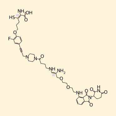 N/C(=C\NCCCC(=O)N1CCN(CC#Cc2ccc(OCCC/C(S)=C(/N)C(=O)O)c(F)c2)CC1)COCCOCCNc1cccc2c1C(=O)N(C1CCC(=O)NC1=O)C2=O